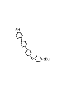 CC(C)(C)c1ccc(Sc2ccc(-c3ccc(-c4ccc(S)cc4)cc3)cc2)cc1